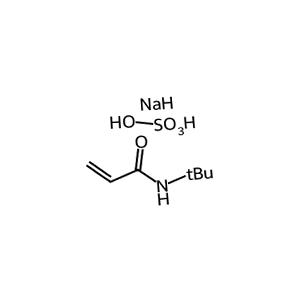 C=CC(=O)NC(C)(C)C.O=S(=O)(O)O.[NaH]